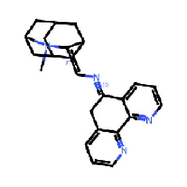 CN1/C(=C/N=C2\Cc3cccnc3-c3ncccc32)C2CC3CC(C2)CC1C3